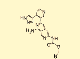 C=NC[C@H]1C[C@@H]1C(=O)Nc1cc2cc(-c3cnccc3-c3cn[nH]c3)nc(N)c2cn1